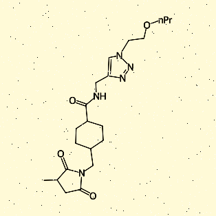 CCCOCCn1cc(CNC(=O)C2CCC(CN3C(=O)CC(C)C3=O)CC2)nn1